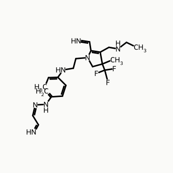 C=C(/C=C\C(=C/C)NCCN1CC(C)(C(F)(F)F)C(CNCC)=C1C=N)N/N=C\C=N